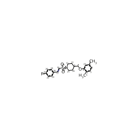 Cc1ccc(C)c(OCC2CCN(S(=O)(=O)/C=C/c3ccc(F)cc3)CC2)c1